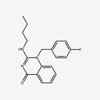 CCCCNc1nc(=O)c2ccccc2n1Cc1ccc(F)cc1